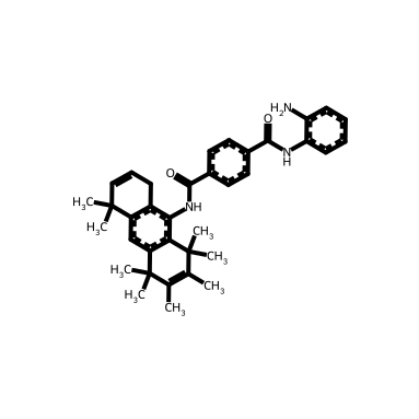 CC1=C(C)C(C)(C)c2c(cc3c(c2NC(=O)c2ccc(C(=O)Nc4ccccc4N)cc2)CC=CC3(C)C)C1(C)C